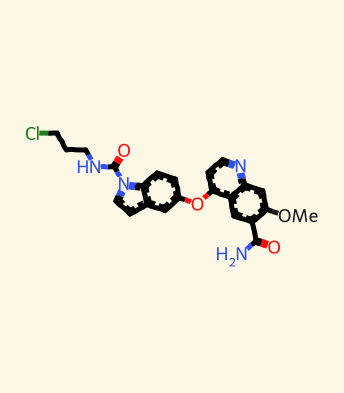 COc1cc2nccc(Oc3ccc4c(ccn4C(=O)NCCCCl)c3)c2cc1C(N)=O